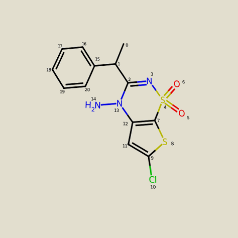 CC(C1=NS(=O)(=O)c2sc(Cl)cc2N1N)c1ccccc1